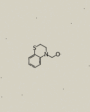 [O]CN1CCSc2ccccc21